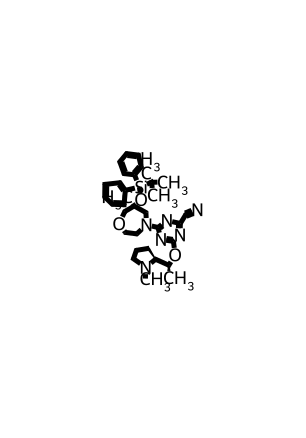 C[C@H](Oc1nc(C#N)nc(N2CCOCC(C)(O[Si](c3ccccc3)(c3ccccc3)C(C)(C)C)C2)n1)[C@@H]1CCCN1C